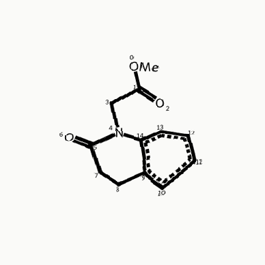 COC(=O)CN1C(=O)CCc2c[c]ccc21